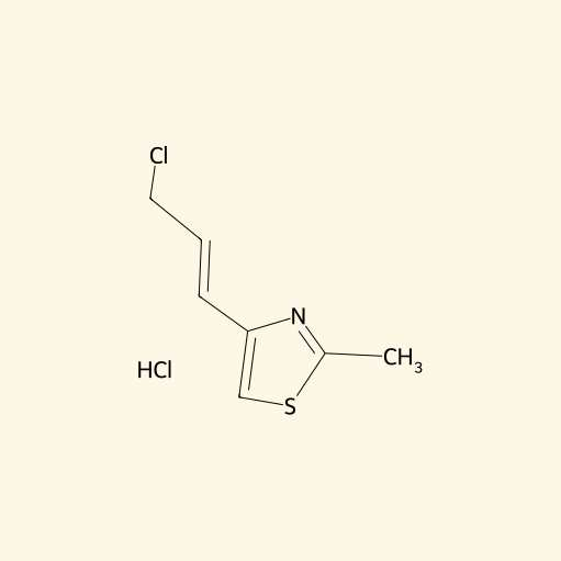 Cc1nc(C=CCCl)cs1.Cl